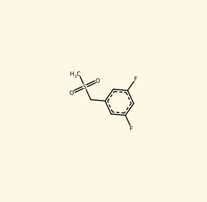 CS(=O)(=O)Cc1cc(F)cc(F)c1